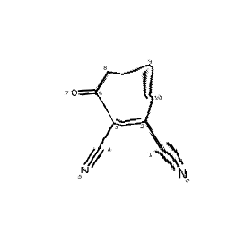 N#CC1=C(C#N)C(=O)CC=C1